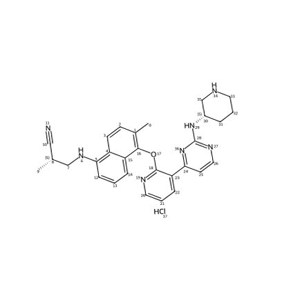 Cc1ccc2c(NC[C@H](C)C#N)cccc2c1Oc1ncccc1-c1ccnc(N[C@H]2CCCNC2)n1.Cl